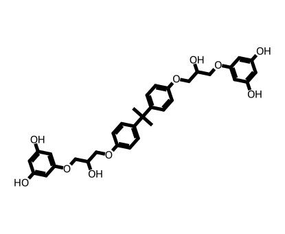 CC(C)(c1ccc(OCC(O)COc2cc(O)cc(O)c2)cc1)c1ccc(OCC(O)COc2cc(O)cc(O)c2)cc1